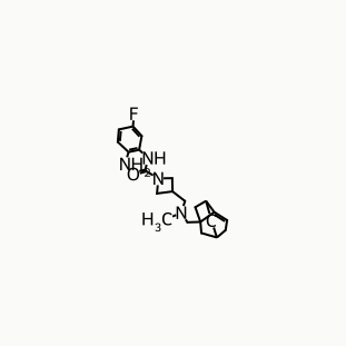 CN(CC1CN(C(=O)Nc2cc(F)ccc2N)C1)CC12CC3CC=C1C(C3)C2